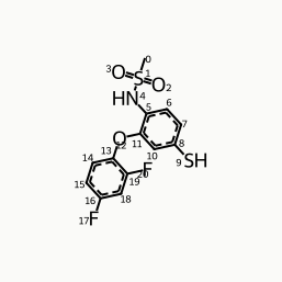 CS(=O)(=O)Nc1ccc(S)cc1Oc1ccc(F)cc1F